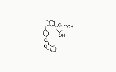 Cc1ccc(C2CC(O)CC(CO)O2)cc1Cc1ccc(OCC2OCc3ccccc32)cc1